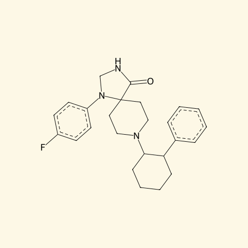 O=C1NCN(c2ccc(F)cc2)C12CCN(C1CCCCC1c1ccccc1)CC2